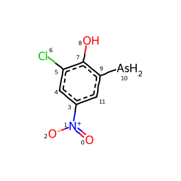 O=[N+]([O-])c1cc(Cl)c(O)c([AsH2])c1